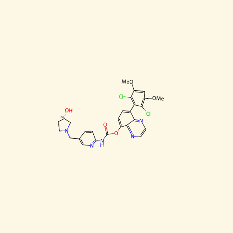 COc1cc(OC)c(Cl)c(-c2ccc(OC(=O)Nc3ccc(CN4CC[C@H](O)C4)cn3)c3nccnc23)c1Cl